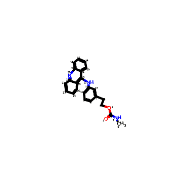 CNC(=O)OCCc1cccc(Nc2c3ccccc3nc3ccccc23)c1